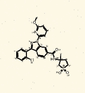 COc1cccc(-n2nc(-c3ccccc3Cl)c3ccc(C(=O)NC4(C)CCS(=O)(=O)C4)cc32)n1